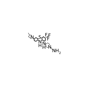 CC1CCN(c2ccc3c(c2)Sc2cc(C(F)(F)F)cc(NC4CCN(CCN)CC4)c2N3)C1